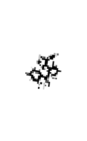 C#Cc1ncn2c1[C@@H]1CCCN1C(=O)c1c(Cl)cccc1-2